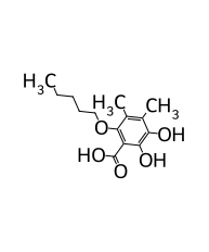 CCCCCOc1c(C)c(C)c(O)c(O)c1C(=O)O